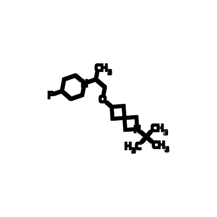 CC(COC1CC2(C1)CN(C(C)(C)C)C2)N1CCC(F)CC1